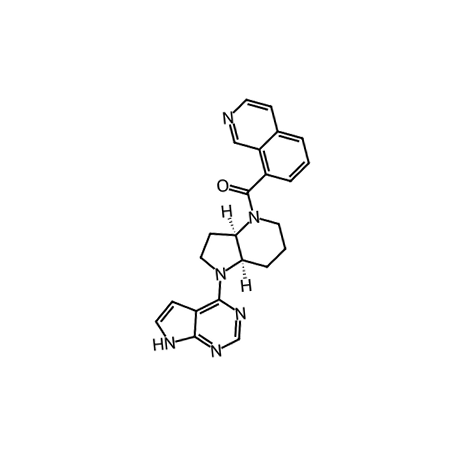 O=C(c1cccc2ccncc12)N1CCC[C@@H]2[C@H]1CCN2c1ncnc2[nH]ccc12